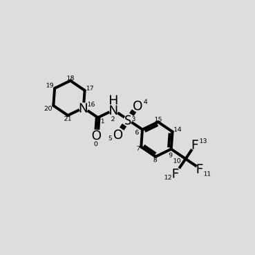 O=C(NS(=O)(=O)c1ccc(C(F)(F)F)cc1)N1CCCCC1